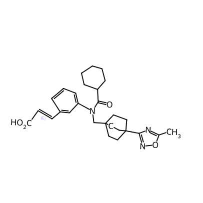 Cc1nc(C23CCC(CN(C(=O)C4CCCCC4)c4cccc(/C=C/C(=O)O)c4)(CC2)CC3)no1